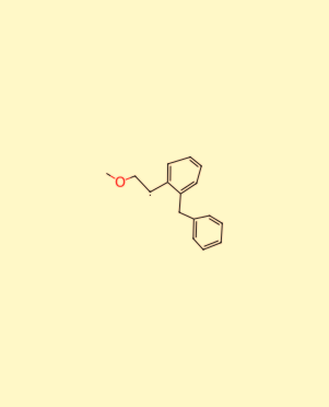 COC[CH]c1ccccc1Cc1ccccc1